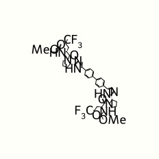 COC(=O)N[C@@H](CCC(F)(F)F)C(=O)N1CCC[C@H]1c1ncc(-c2ccc(-c3ccc(-c4cnc([C@@H]5CCCN5C(=O)[C@H](CCC(F)(F)F)NC(=O)OC)[nH]4)cc3)cc2)[nH]1